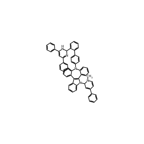 CN1C=CC(c2ccccc2)=CC1n1c2c(c3ccccc31)-c1ccccc1N(c1ccc(-c3ccccc3C3N=C(c4ccccc4)C=C(c4ccccc4)N3)cc1)c1ccccc1-2